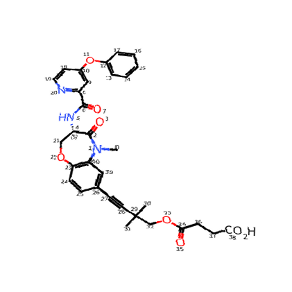 CN1C(=O)[C@@H](NC(=O)c2cc(Oc3ccccc3)ccn2)COc2ccc(C#CC(C)(C)COC(=O)CCC(=O)O)cc21